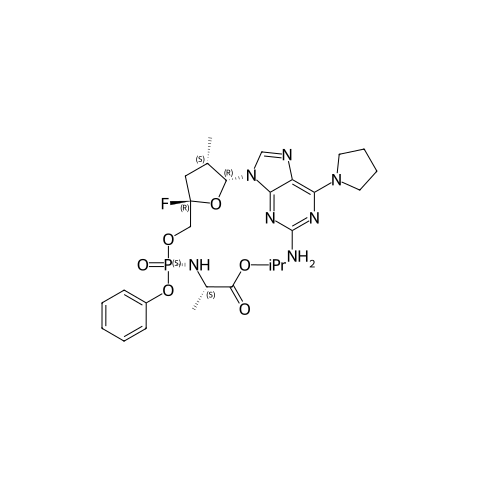 CC(C)OC(=O)[C@H](C)N[P@](=O)(OC[C@]1(F)C[C@H](C)[C@H](n2cnc3c(N4CCCC4)nc(N)nc32)O1)Oc1ccccc1